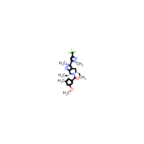 CC[C@H]1Cc2c(nn(C)c2-c2cc(C(F)(F)F)nn2C)[C@@H](CC)N1C(=O)c1cc(C)cc(OC)c1